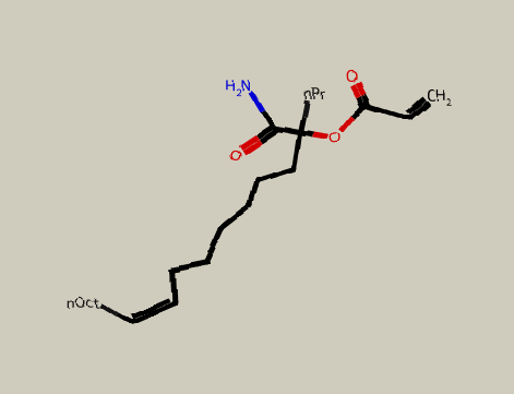 C=CC(=O)OC(CCC)(CCCCCC/C=C\CCCCCCCC)C(N)=O